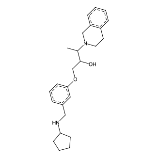 CC(C(O)COc1cccc(CNC2CCCC2)c1)N1CCc2ccccc2C1